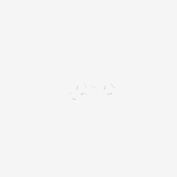 Clc1ccc(CNc2ncc3c(cnn3C3CCOCC3)n2)cc1Cl